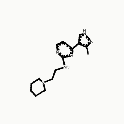 Cc1n[nH]cc1-c1ccnc(NCCN2CCCCC2)n1